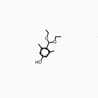 CCOC(OCC)c1c(C)cc(O)cc1C